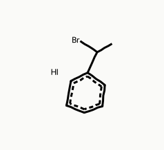 CC(Br)c1ccccc1.I